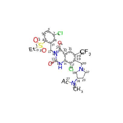 CCS(=O)(=O)c1ccc(Cl)cc1Cn1c(=O)[nH]c2c(Cl)c(CN3CC[C@@H](N(C)C(C)=O)C3)c(C(F)(F)F)cc2c1=O